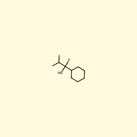 CC(C)C(O)(F)C1CCCCC1